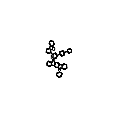 c1ccc(-c2ccc(-c3cc(-c4cccc5c4oc4ccccc45)nc(-n4c5ccccc5c5cc6c(cc54)c4ccccc4n6-c4ccccc4)c3)cc2)cc1